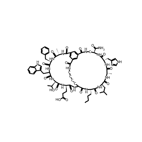 CCCC[C@@H]1NC(=O)C2CCCCNC(=O)c3cc(cc(c3)C(=O)N[C@@H](C)C(=O)N[C@H](Cc3ccccc3)C(=O)NC(Cc3c[nH]c4ccccc34)C(=O)N[C@H](C(C)O)C(=O)N[C@H](CCC(=O)O)C(=O)N2)C(=O)NC[C@@H](C(N)=O)NC(=O)[C@H](Cc2c[nH]cn2)NC(=O)[C@H](C)NC(=O)[C@@H](CC(C)C)NC1=O